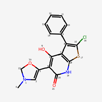 CN1C=C(c2c(O)c3c(-c4ccccc4)c(Cl)sc3[nH]c2=O)OC1